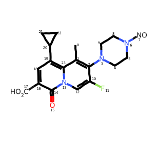 Cc1c(N2CCN(N=O)CC2)c(F)cn2c(=O)c(C(=O)O)cc(C3CC3)c12